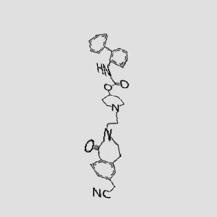 N#CCc1ccc2c(c1)CCN(CCN1CCC(OC(=O)Nc3ccccc3-c3ccccc3)CC1)C2=O